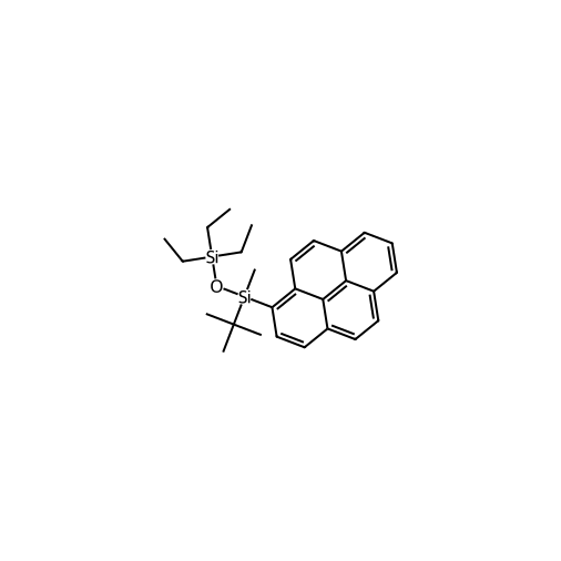 CC[Si](CC)(CC)O[Si](C)(c1ccc2ccc3cccc4ccc1c2c34)C(C)(C)C